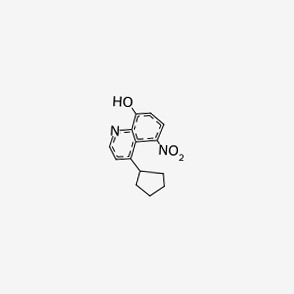 O=[N+]([O-])c1ccc(O)c2nccc(C3CCCC3)c12